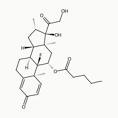 CCCCC(=O)O[C@H]1C[C@@]2(C)[C@@H](C[C@H](C)[C@]2(O)C(=O)CO)[C@@H]2CCC3=CC(=O)C=C[C@]3(C)[C@@]12F